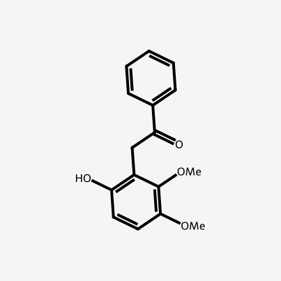 COc1ccc(O)c(CC(=O)c2ccccc2)c1OC